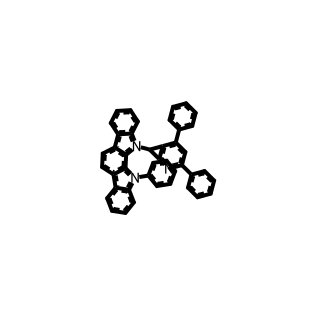 c1ccc(-c2cc(-c3ccccc3)c3c(n2)C3n2c3ccccc3c3ccc4c5ccccc5n(-c5ccccc5)c4c32)cc1